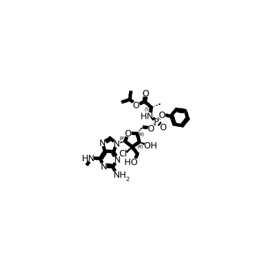 CNc1nc(N)nc2c1ncn2[C@@H]1O[C@H](COP(=O)(N[C@@H](C)C(=O)OC(C)C)Oc2ccccc2)[C@@H](O)[C@]1(Cl)CO